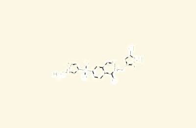 Cn1cc(S(=O)(=O)c2ccc3c(=O)n(Cc4cc(Cl)[nH]n4)ncc3c2)cn1